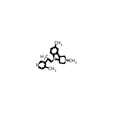 C/C(=C\n1c2c(c3cc(C)ccc31)CN(C)CC2)c1cnccc1C